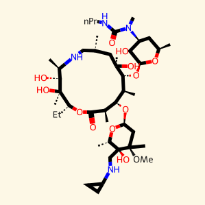 CCCNC(=O)N(C)[C@H]1C[C@@H](C)O[C@@H](O[C@@H]2[C@@H](C)[C@H](O[C@H]3C[C@@](C)(OC)[C@](O)(CNC4CC4)[C@H](C)O3)[C@@H](C)C(=O)O[C@H](CC)[C@@](C)(O)[C@H](O)[C@@H](C)NC[C@H](C)C[C@@]2(C)O)[C@@H]1O